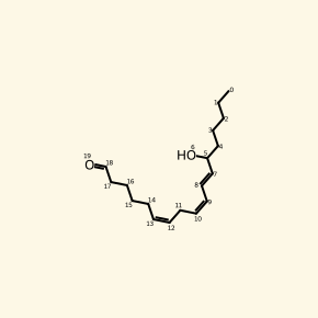 CCCCCC(O)/C=C/C=C\C/C=C\CCCCC=O